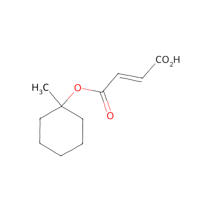 CC1(OC(=O)C=CC(=O)O)CCCCC1